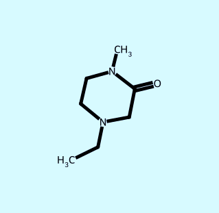 CCN1CCN(C)C(=O)C1